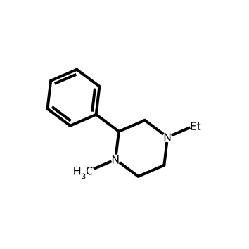 CCN1CCN(C)C(c2ccccc2)C1